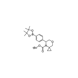 CC(C)(C)OC(=O)N1C(c2ccc(B3OC(C)(C)C(C)(C)O3)cc2)COCC12CC2